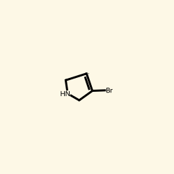 BrC1=[C]CNC1